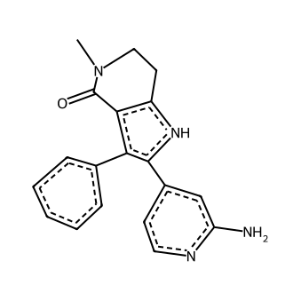 CN1CCc2[nH]c(-c3ccnc(N)c3)c(-c3ccccc3)c2C1=O